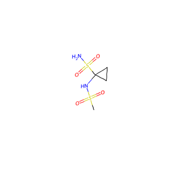 CS(=O)(=O)NC1(S(N)(=O)=O)CC1